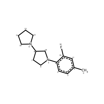 Cc1ccc(N2CCC(N3CCCC3)C2)c(F)c1